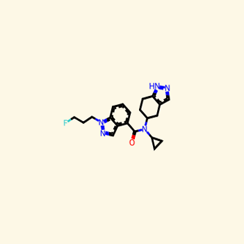 O=C(c1cccc2c1cnn2CCCF)N(C1CC1)C1CCc2[nH]ncc2C1